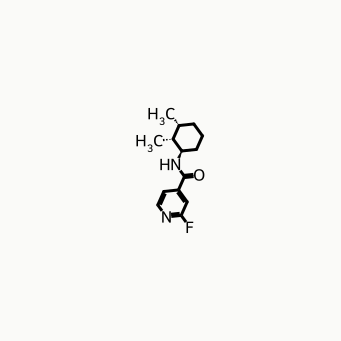 C[C@@H]1[C@H](C)CCC[C@H]1NC(=O)c1ccnc(F)c1